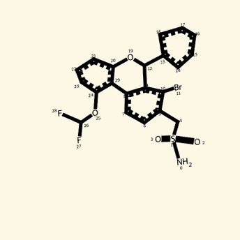 NS(=O)(=O)Cc1ccc2c(c1Br)C(c1ccccc1)Oc1cccc(OC(F)F)c1-2